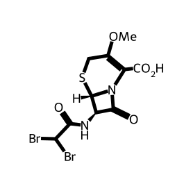 COC1=C(C(=O)O)N2C(=O)[C@@H](NC(=O)C(Br)Br)[C@@H]2SC1